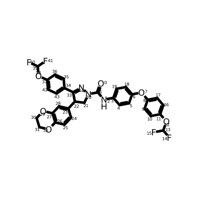 O=C(Nc1ccc(Oc2ccc(OC(F)F)cc2)cc1)N1CC(c2ccc3c(c2)OCCO3)C(c2ccc(OC(F)F)cc2)=N1